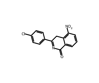 O=C1N=C(c2ccc(Cl)cc2)Cc2c1cccc2[N+](=O)[O-]